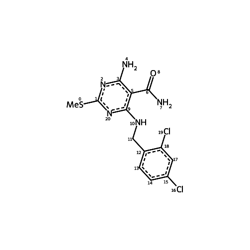 CSc1nc(N)c(C(N)=O)c(NCc2ccc(Cl)cc2Cl)n1